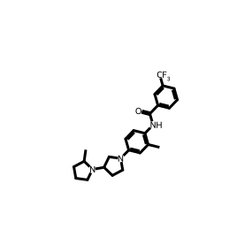 Cc1cc(N2CCC(N3CCCC3C)C2)ccc1NC(=O)c1cccc(C(F)(F)F)c1